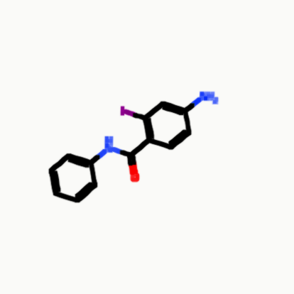 Nc1ccc(C(=O)Nc2ccccc2)c(I)c1